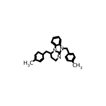 CC1=CCC(CC2CCN=C3N(Cc4ccc(C)cc4)c4ccccc4N32)C=C1